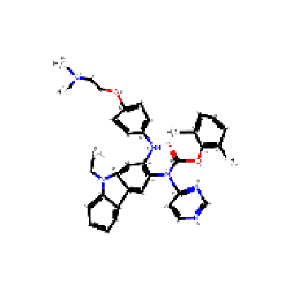 CCn1c2ccccc2c2cc(N(C(=O)Oc3c(C)cccc3C)c3ccncn3)c(Nc3ccc(OCCN(C)C)cc3)cc21